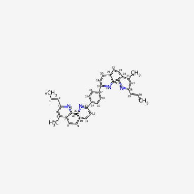 C/C=C/c1cc(C)c2ccc3ccc(-c4ccc(-c5ccc6ccc7c(C)cc(/C=C/C)nc7c6n5)cc4)nc3c2n1